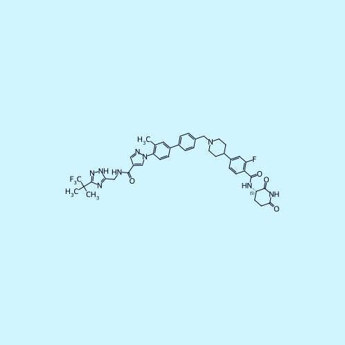 Cc1cc(-c2ccc(CN3CCC(c4ccc(C(=O)N[C@H]5CCC(=O)NC5=O)c(F)c4)CC3)cc2)ccc1-n1cc(C(=O)NCc2nc(C(C)(C)C(F)(F)F)n[nH]2)cn1